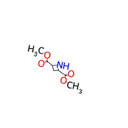 COC(=O)C1CC(C(=O)OC)N1